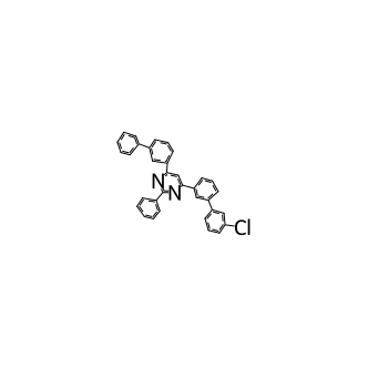 Clc1cccc(-c2cccc(-c3cc(-c4cccc(-c5ccccc5)c4)nc(-c4ccccc4)n3)c2)c1